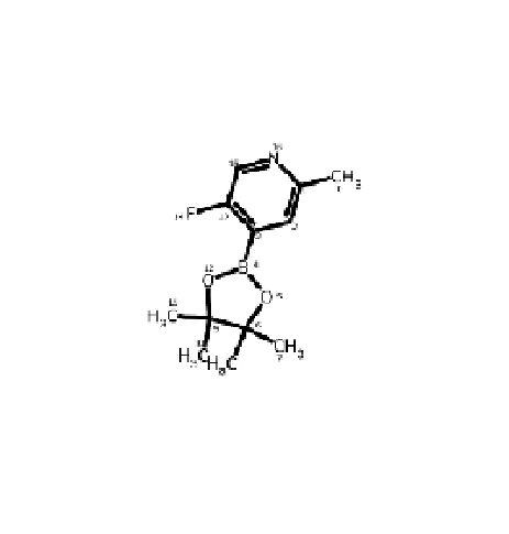 Cc1cc(B2OC(C)(C)C(C)(C)O2)c(F)cn1